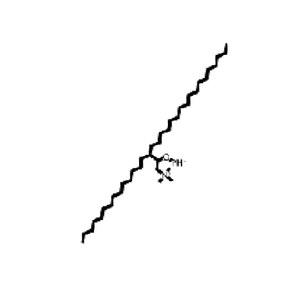 CCCCCCCCCCCCCCCCCC(CCCCCCCCCCCCCC)C(C[N+](C)(C)C)O[PH-]